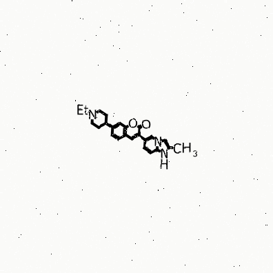 CCN1CCC(c2ccc3cc(C4=CN5C=C(C)NC5C=C4)c(=O)oc3c2)CC1